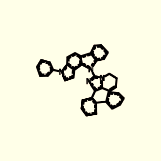 C1=Cc2c(-c3ccccc3-c3ccccc3)nc(-n3c4ccccc4c4ccc5c(ccn5-c5ccccc5)c43)n2CC1